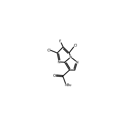 CCCCC(=O)c1cnn2c(Cl)c(F)c(Cl)nc12